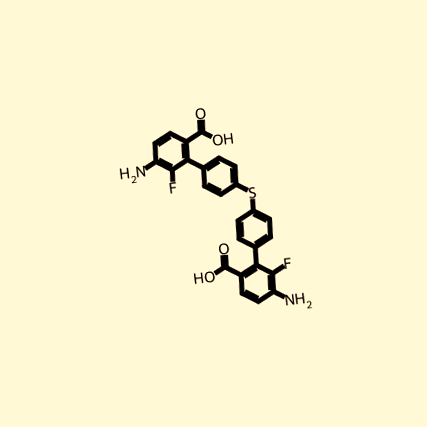 Nc1ccc(C(=O)O)c(-c2ccc(Sc3ccc(-c4c(C(=O)O)ccc(N)c4F)cc3)cc2)c1F